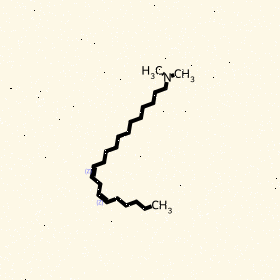 CCCCC/C=C\C/C=C\CCCCCCCCCCCN(C)C